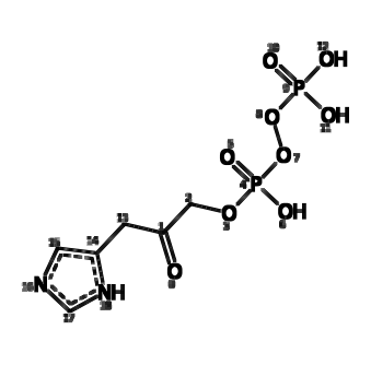 O=C(COP(=O)(O)OOP(=O)(O)O)Cc1cnc[nH]1